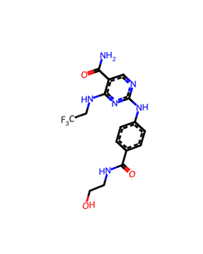 NC(=O)c1cnc(Nc2ccc(C(=O)NCCO)cc2)nc1NCC(F)(F)F